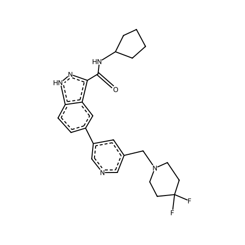 O=C(NC1CCCC1)c1n[nH]c2ccc(-c3cncc(CN4CCC(F)(F)CC4)c3)cc12